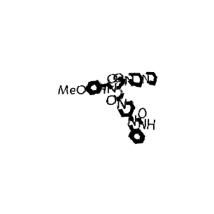 COc1ccc(C(=O)N[C@@H](CC(=O)N2CCC(N3Cc4ccccc4NC3=O)CC2)C(=O)N2CCC(N3CCCCC3)CC2)cc1